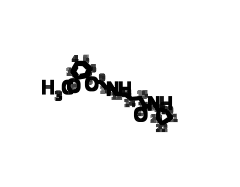 COc1ccccc1OCCNCCCCC(=O)NC1CCCC1